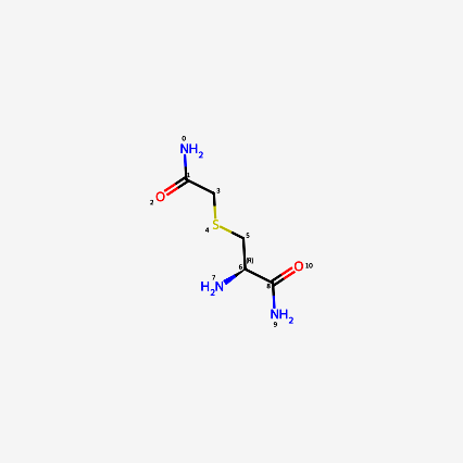 NC(=O)CSC[C@H](N)C(N)=O